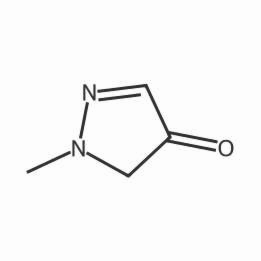 CN1CC(=O)C=N1